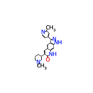 Cc1cc(-c2n[nH]c3cc4[nH]c(=O)c(C5CCCN(C)C5)cc4cc23)ccn1